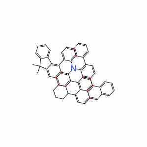 CC1(C)c2ccccc2-c2c(-c3ccccc3N(c3cc(-c4cccc5ccccc45)ccc3-c3ccccc3)c3ccccc3-c3cccc4cccc(C5CCCCC5)c34)cccc21